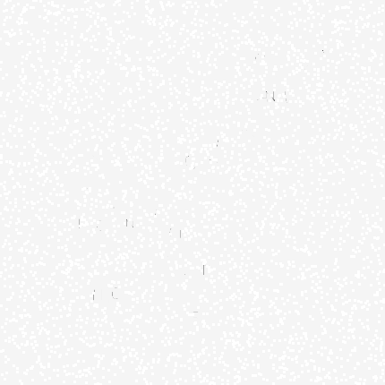 Cc1c(F)c(F)c(F)c(Cl)c1CN(CCCOc1cccc(CNC(=O)C2CC2)c1)C(C)(c1ccccc1)c1ccccc1